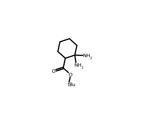 CC(C)(C)OC(=O)C1CCCCC1(N)N